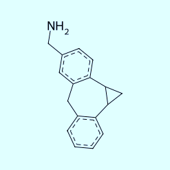 NCc1ccc2c(c1)Cc1ccccc1C1CC21